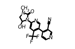 CN1CC(O)N(c2cc(C(F)(F)F)c(-c3ccncc3C#N)cn2)C1=O